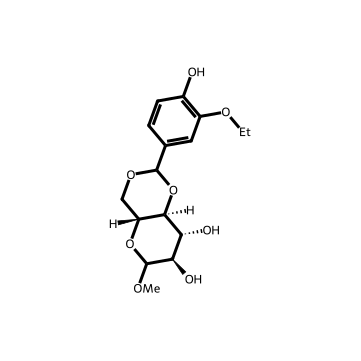 CCOc1cc(C2OC[C@H]3OC(OC)[C@H](O)[C@@H](O)[C@@H]3O2)ccc1O